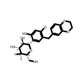 C[C@]1(F)[C@H](O)[C@@H](O)[C@H](c2cc(Cc3ccc4c(c3)OCCO4)c(Cl)cc2O)O[C@@H]1CO